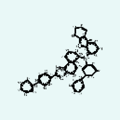 C1=Cc2c(oc3c(N(C4=CC(c5ccccc5)CC=C4)c4cccc5c4ccc4oc(-c6ccc(-c7ccccc7)cc6)nc45)cccc23)CC1